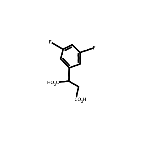 O=C(O)CC(C(=O)O)c1cc(F)cc(F)c1